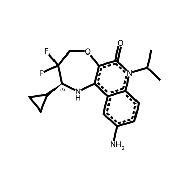 CC(C)n1c(=O)c2c(c3cc(N)ccc31)N[C@@H](C1CC1)C(F)(F)CO2